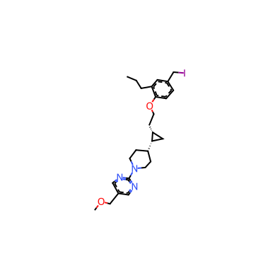 CCCc1cc(CI)ccc1OCC[C@@H]1C[C@@H]1C1CCN(c2ncc(COC)cn2)CC1